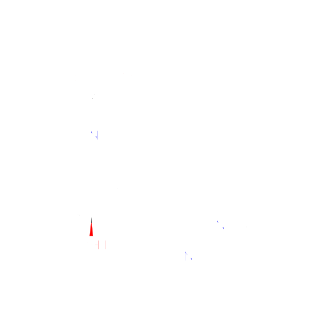 Cn1cc(C2CN(C(=O)O)CC[C@@H]2O)cn1